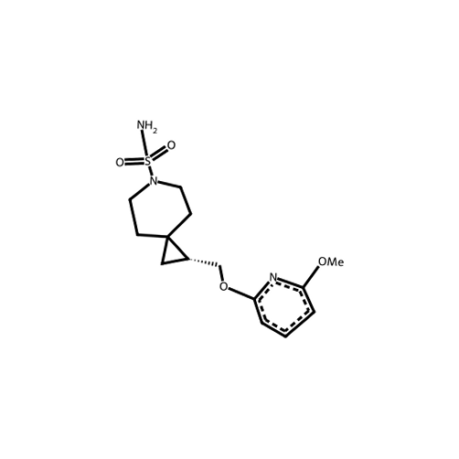 COc1cccc(OC[C@@H]2CC23CCN(S(N)(=O)=O)CC3)n1